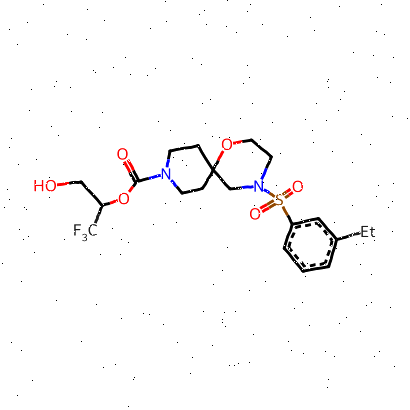 CCc1cccc(S(=O)(=O)N2CCOC3(CCN(C(=O)OC(CO)C(F)(F)F)CC3)C2)c1